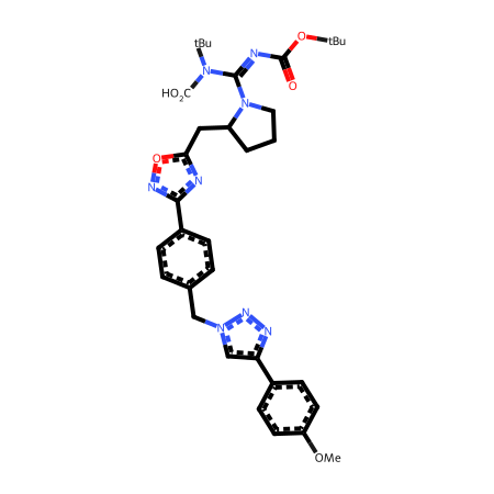 COc1ccc(-c2cn(Cc3ccc(-c4noc(CC5CCCN5C(=NC(=O)OC(C)(C)C)N(C(=O)O)C(C)(C)C)n4)cc3)nn2)cc1